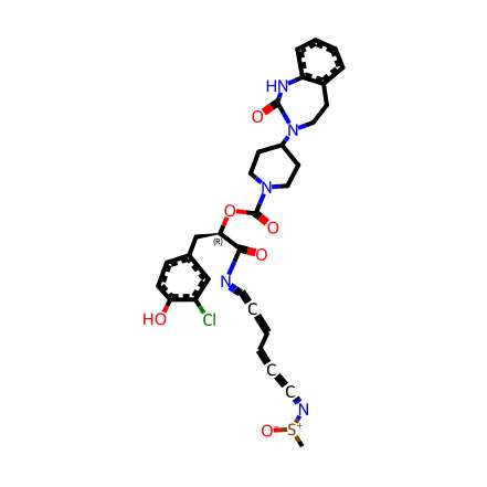 C[S+]([O-])N=C=C=CC=C=C=NC(=O)[C@@H](Cc1ccc(O)c(Cl)c1)OC(=O)N1CCC(N2CCc3ccccc3NC2=O)CC1